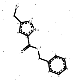 O=C(OCc1ccccc1)c1cc(CBr)on1